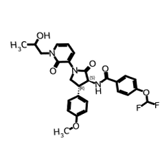 COc1ccc([C@@H]2CN(c3cccn(CC(C)O)c3=O)C(=O)[C@H]2NC(=O)c2ccc(OC(F)F)cc2)cc1